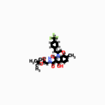 Cc1ccc2c(O)c(C(=O)NCC(=O)OC(C)(C)C)c(=O)n3c2c1OCC3Cc1ccc(C(F)(F)F)cc1